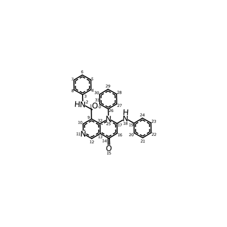 O=C(Nc1ccccc1)c1cncc2c(=O)cc(Nc3ccccc3)n(-c3ccccc3)c12